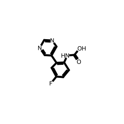 O=C(O)Nc1ccc(F)cc1-c1cncnc1